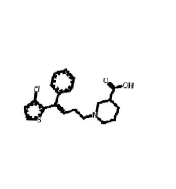 O=C(O)C1CCCN(CC/C=C(\c2ccccc2)c2sccc2Cl)C1